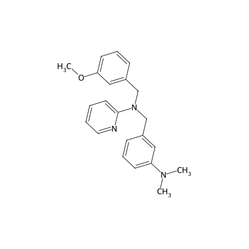 COc1cccc(CN(Cc2cccc(N(C)C)c2)c2ccccn2)c1